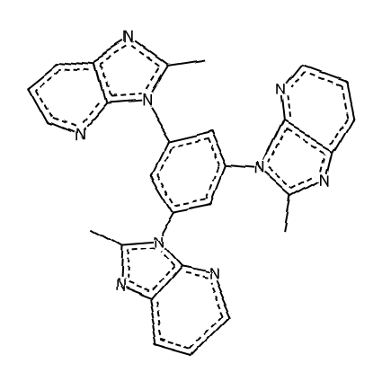 Cc1nc2cccnc2n1-c1cc(-n2c(C)nc3cccnc32)cc(-n2c(C)nc3cccnc32)c1